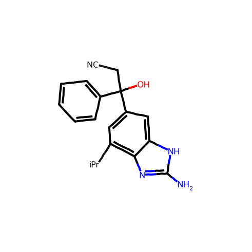 CC(C)c1cc(C(O)(CC#N)c2ccccc2)cc2[nH]c(N)nc12